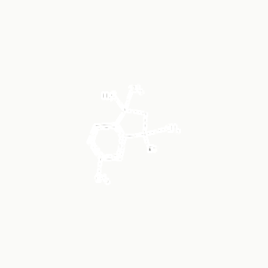 Cc1ccc2c(c1)C(C)(C(C)C)CC2(C)C